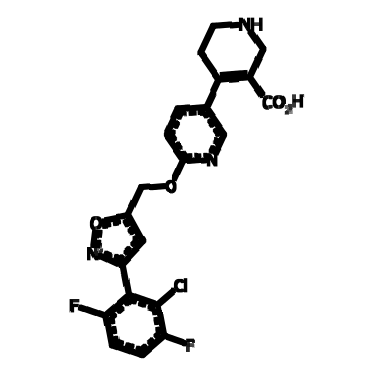 O=C(O)C1=C(c2ccc(OCc3cc(-c4c(F)ccc(F)c4Cl)no3)nc2)CCNC1